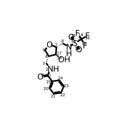 O=C(NC[C@@H]1CO[C@H](CNS(=O)(=O)C(F)(F)F)[C@H]1O)c1ccccc1